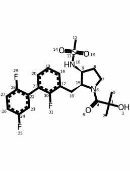 CC(C)(O)C(=O)N1CC[C@H](NS(C)(=O)=O)[C@@H]1Cc1cccc(-c2cc(F)ccc2F)c1F